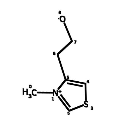 C[n+]1cscc1CC[O]